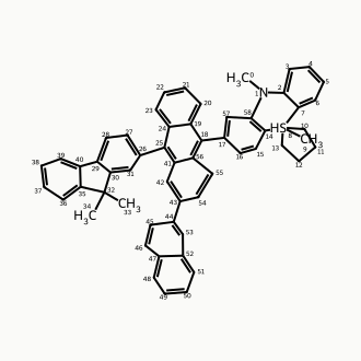 CN1c2ccccc2[SH]2(C)(CCCC2)c2ccc(-c3c4ccccc4c(-c4ccc5c(c4)C(C)(C)c4ccccc4-5)c4cc(-c5ccc6ccccc6c5)ccc34)cc21